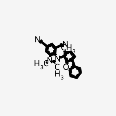 Cc1ccc2c(oc3ccccc32)c1N1c2c(C#N)cc(C#N)cc2N(C)[C@@H]1C